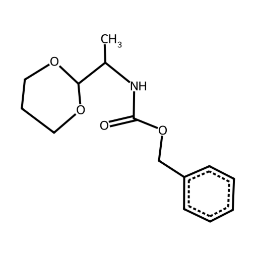 CC(NC(=O)OCc1ccccc1)C1OCCCO1